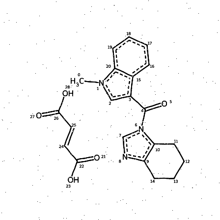 Cn1cc(C(=O)n2cnc3c2CCCC3)c2ccccc21.O=C(O)/C=C/C(=O)O